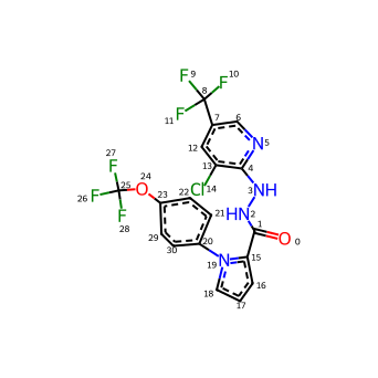 O=C(NNc1ncc(C(F)(F)F)cc1Cl)c1cccn1-c1ccc(OC(F)(F)F)cc1